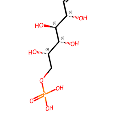 O=C[C@H](O)[C@H](O)[C@H](O)[C@@H](O)COP(=O)(O)O